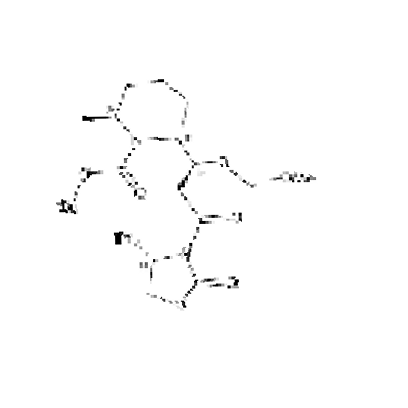 COCO[C@@H](CC(=O)N1C(=O)OC[C@@H]1C(C)C)[C@H]1CCC[C@H](C)N1C(=O)OC(C)(C)C